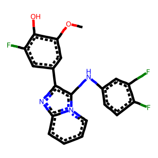 COc1cc(-c2nc3ccccn3c2Nc2ccc(F)c(F)c2)cc(F)c1O